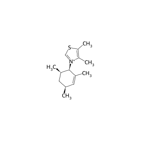 CC1=C[C@@H](C)C[C@@H](C)[C@H]1[n+]1csc(C)c1C